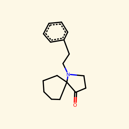 O=C1CCN(CCc2ccccc2)C12CCCCC2